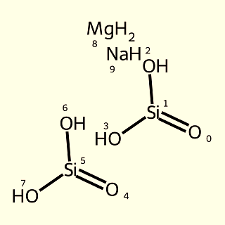 O=[Si](O)O.O=[Si](O)O.[MgH2].[NaH]